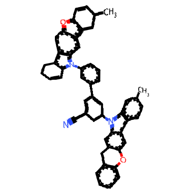 Cc1ccc2c3cc4c(cc3n(C3C=C(c5cccc(-n6c7c(c8cc9oc%10c(c9cc86)CC(C)C=C%10)CCC=C7)c5)C=C(C#N)C3)c2c1)Cc1ccccc1O4